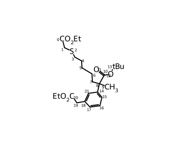 CCOC(=O)CSCCCCCC(C)(C(=O)OC(C)(C)C)c1cccc(CC(=O)OCC)c1